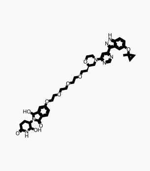 CC1(Oc2ccc3[nH]nc(-c4cc(N5CCO[C@H](CCOCCOCCOCCOc6ccc7c(c6)C(O)N(C6CCC(=O)NC6O)C7=O)C5)ncn4)c3c2)CC1